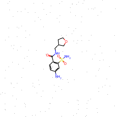 Nc1ccc(C(=O)NCC2CCOC2)c(S(N)(=O)=O)c1